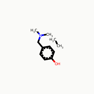 CN(C)Cc1ccc(O)cc1.[CH2]C